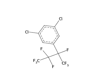 FC(F)(F)C(F)(F)C(F)(c1cc(Cl)cc(Cl)c1)C(F)(F)F